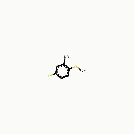 CCCSc1ccc(F)cc1[N+](=O)[O-]